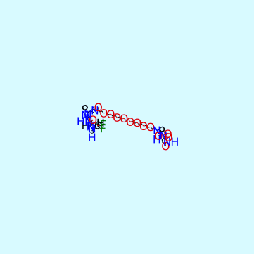 C[C@@]12Cc3[nH]nc(C(=O)Nc4cnn([C@H](c5ccccc5)C5CN(C(=O)CCOCCOCCOCCOCCOCCOCCOCCOCCNc6cccc7c6C(=O)N(C6CCC(=O)NC6=O)C7=O)C5)c4)c3C[C@@H]1C2(F)F